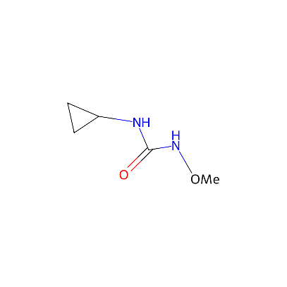 CONC(=O)NC1CC1